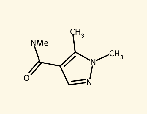 CNC(=O)c1cnn(C)c1C